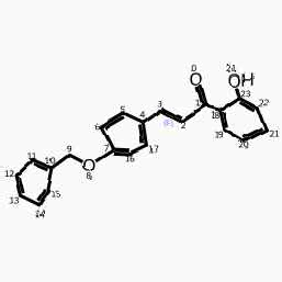 O=C(/C=C/c1ccc(OCc2ccccc2)cc1)c1ccccc1O